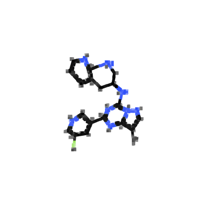 CC(C)c1cnn2c(N[C@@H]3CNc4ncccc4C3)nc(-c3cncc(F)c3)nc12